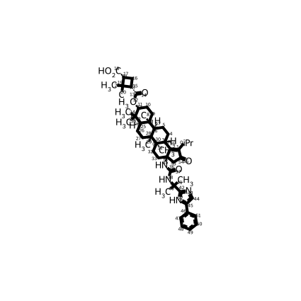 CC(C)C1=C2[C@H]3CC[C@@H]4[C@@]5(C)CC[C@H](OC(=O)[C@H]6C[C@@H](C(=O)O)C6(C)C)C(C)(C)[C@@H]5CC[C@@]4(C)[C@]3(C)CC[C@@]2(NC(=O)NC(C)(C)c2ncc(-c3ccccc3)[nH]2)CC1=O